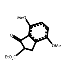 CCOC(=O)C1Cc2c(OC)ccc(OC)c2C1=O